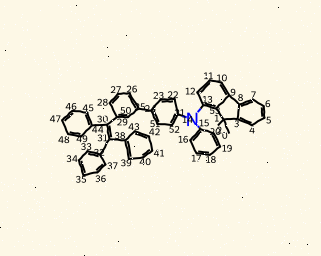 CC1(C)c2ccccc2-c2cccc(N(c3ccccc3)c3ccc(-c4cccc(C(=C(c5ccccc5)c5ccccc5)c5ccccc5)c4)cc3)c21